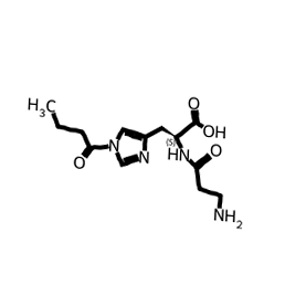 CCCC(=O)n1cnc(C[C@H](NC(=O)CCN)C(=O)O)c1